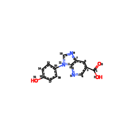 O=C(O)c1cnc2c(c1)ncn2-c1ccc(O)cc1